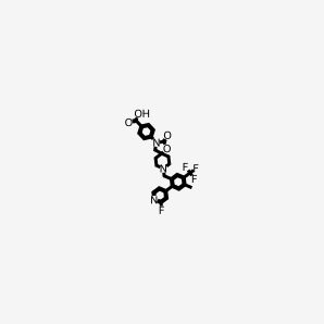 Cc1cc(-c2ccnc(F)c2)c(CN2CCC3(CC2)CN(c2ccc(C(=O)O)cc2)C(=O)O3)cc1C(F)(F)F